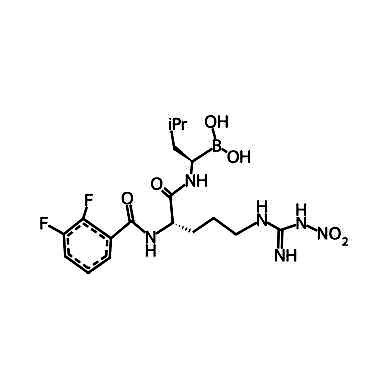 CC(C)C[C@H](NC(=O)[C@H](CCCNC(=N)N[N+](=O)[O-])NC(=O)c1cccc(F)c1F)B(O)O